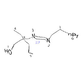 CCCC/N=N/C(C)(C)O